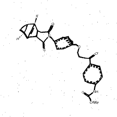 COC(=O)Nc1ccc(C(=O)COc2ccc(N3C(=O)C4C(C3=O)[C@@H]3C=CC4[C@H]4CC34)cc2)cc1